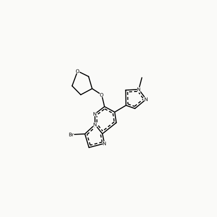 Cn1cc(-c2cc3ncc(Br)n3nc2OC2CCOC2)cn1